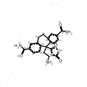 NCCC1(c2nc(=O)o[nH]2)c2ccc(C(N)=O)cc2CCc2cc(C(N)=O)ccc21